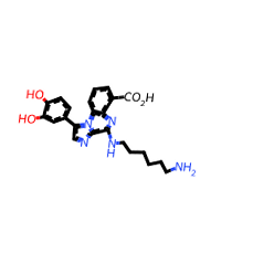 NCCCCCCNc1nc2c(C(=O)O)cccc2n2c(-c3ccc(O)c(O)c3)cnc12